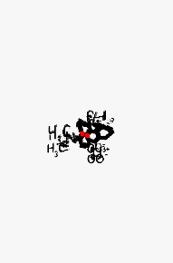 CN(C)c1ccc(/C=C2/CCCc3c[n+](C)c4ccccc4c32)cc1.[O-][Cl+3]([O-])([O-])[O-]